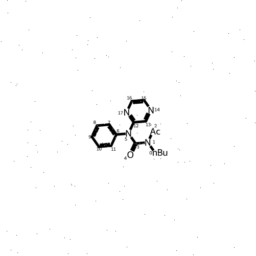 CCCCN(C(C)=O)C(=O)N(c1ccccc1)c1cnccn1